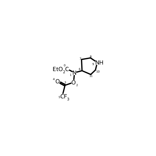 CCOC(=O)N(OC(=O)C(F)(F)F)C1CCNCC1